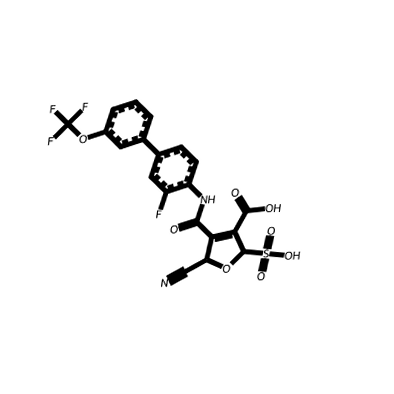 N#CC1OC(S(=O)(=O)O)C(C(=O)O)=C1C(=O)Nc1ccc(-c2cccc(OC(F)(F)F)c2)cc1F